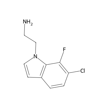 NCCn1ccc2ccc(Cl)c(F)c21